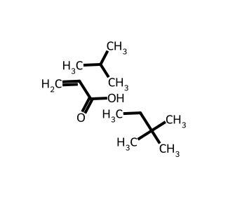 C=CC(=O)O.CC(C)C.CCC(C)(C)C